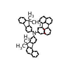 CC1(C)c2ccccc2-c2ccc(N(c3cccc(-c4cccc5cccc(-c6ccccc6)c45)c3)c3ccc4c(c3)C(C)(C)c3ccc5ccccc5c3-4)cc21